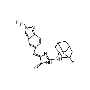 Cn1cc2cc(/C=C3\N=C(NC45CC6CC(CC(F)(C6)C4)C5)NC3=O)ccc2n1